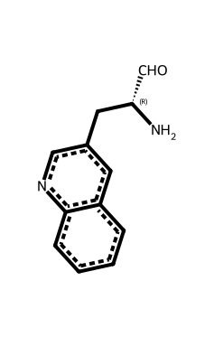 N[C@@H](C=O)Cc1cnc2ccccc2c1